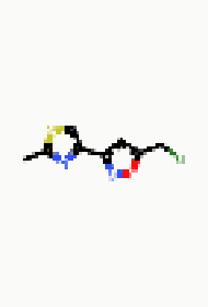 Cc1nc(-c2cc(CCl)on2)cs1